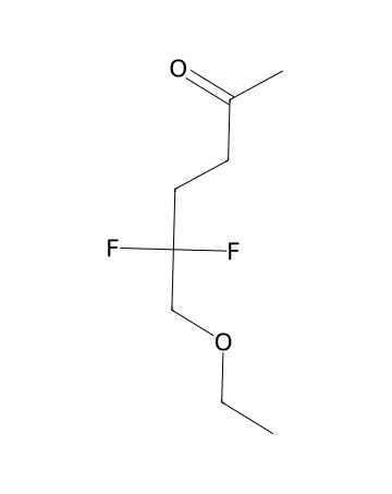 CCOCC(F)(F)CCC(C)=O